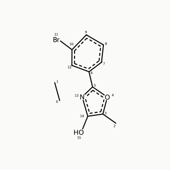 CC.Cc1oc(-c2cccc(Br)c2)nc1O